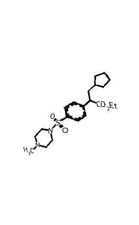 CCOC(=O)C(CC1CCCC1)c1ccc(S(=O)(=O)N2CCN(C)CC2)cc1